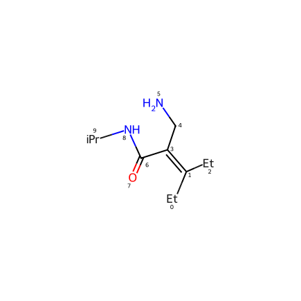 CCC(CC)=C(CN)C(=O)NC(C)C